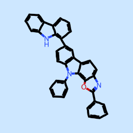 c1ccc(-c2nc3ccc4c5cc(-c6cccc7c6[nH]c6ccccc67)ccc5n(-c5ccccc5)c4c3o2)cc1